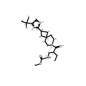 CCC(CNC(=O)OC)C(=O)N1CCC2(CC1)CC(c1nc(C(C)(C)C)co1)C2